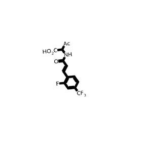 CC(=O)C(NC(=O)C=Cc1ccc(C(F)(F)F)cc1F)C(=O)O